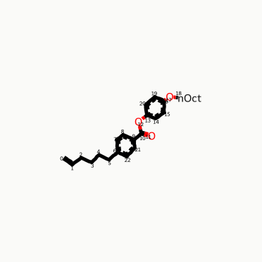 C=CCCCCc1ccc(C(=O)Oc2ccc(OCCCCCCCC)cc2)cc1